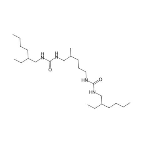 CCCCC(CC)CNC(=O)NCCCC(C)CNC(=O)NCC(CC)CCCC